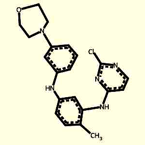 Cc1ccc(Nc2cccc(N3CCOCC3)c2)cc1Nc1ccnc(Cl)n1